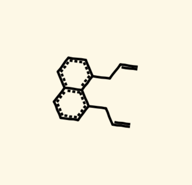 C=CCc1cccc2cccc(CC=C)c12